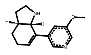 COc1cncc(C2=CCC[C@@H]3CCN[C@H]23)c1